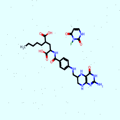 CCCCCC(CC(NC(=O)c1ccc(NCC2CNc3nc(N)[nH]c(=O)c3N2)cc1)C(=O)O)C(=O)O.O=c1cc[nH]c(=O)n1F